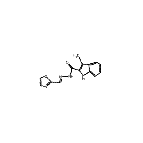 Cc1c(C(=O)NN=Cc2nccs2)[nH]c2ccccc12